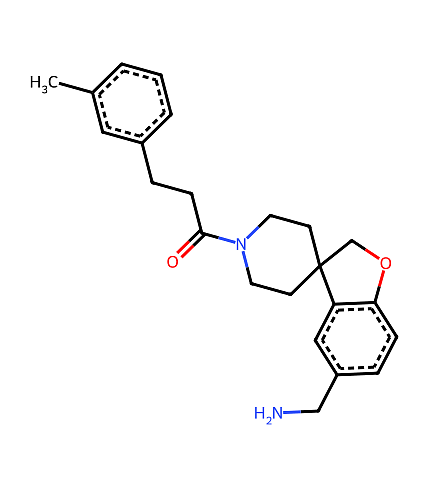 Cc1cccc(CCC(=O)N2CCC3(CC2)COc2ccc(CN)cc23)c1